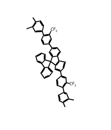 Cc1ccc(-c2ccc(-c3ccc4c(c3)C3(c5ccccc5-c5ccccc53)c3cc(-c5ccc(-c6ccc(C)c(C)c6)c(C(F)(F)F)c5)ccc3-4)cc2C(F)(F)F)cc1C